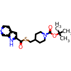 CC(C)(C)OC(=O)N1CCC(CSC(=O)c2cc3ccncc3[nH]2)CC1